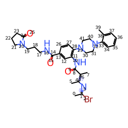 C/C(Br)=N\C(C)=C(/C)C(=O)Nc1cc(C(=O)NCCCN2CCCC2=O)ccc1N1CCN(c2ccccc2C)CC1